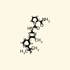 Cc1nc(NC(=O)N2CCC[C@H]2C(N)=O)sc1-c1ccnc(C(C)(C)F)c1